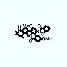 COc1ccc(C(=O)OCc2c(-c3ccc(OC(=O)c4ccccc4Cl)cc3OC)ccc3c2C(C)=CC(C)(C)N3)cc1